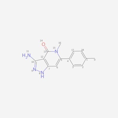 Cc1ccc(-c2cc3[nH]nc(N)c3c(=O)n2C)cc1